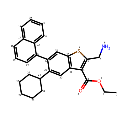 CCOC(=O)c1c(CN)sc2cc(-c3cccc4ccccc34)c(C3CCCCC3)cc12